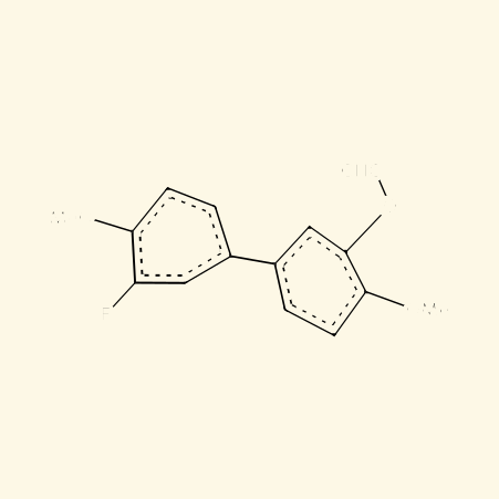 COc1ccc(-c2ccc(OC)c(OC=O)c2)cc1F